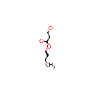 CCC=COC(=O)CC[O]